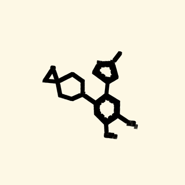 COc1cc(N2CCC3(CC2)CO3)c(-c2cnn(C)c2)cc1[N+](=O)[O-]